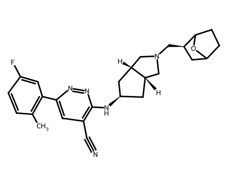 Cc1ccc(F)cc1-c1cc(C#N)c(N[C@H]2C[C@@H]3CN(C[C@@H]4CC5CCC4O5)C[C@@H]3C2)nn1